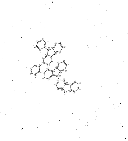 c1ccc(-c2cc3c(cc2-c2cccc4c2c2ccccc2n4-c2ccc4oc5ccccc5c4c2)c2ccccc2n3-c2ccccc2)cc1